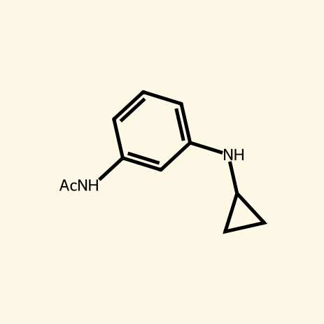 CC(=O)Nc1cccc(NC2CC2)c1